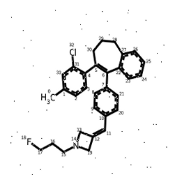 Cc1ccc(C2=C(c3ccc(C=C4CN(CCCF)C4)cc3)c3ccccc3CCC2)c(Cl)c1